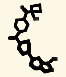 O=C(c1ccc(-c2ccc3cnn(O)c3c2)cc1)N1CCN(C(=O)C2(O)CCC2)CC1